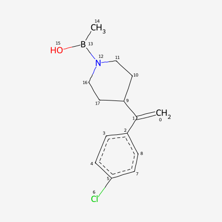 C=C(c1ccc(Cl)cc1)C1CCN(B(C)O)CC1